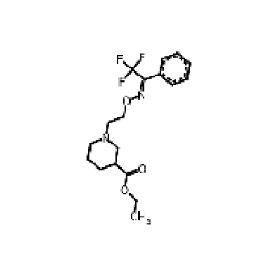 CCOC(=O)C1CCCN(CCON=C(c2ccccc2)C(F)(F)F)C1